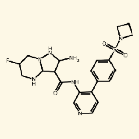 NC1NN2CC(F)CNC2C1C(=O)Nc1cnccc1-c1ccc(S(=O)(=O)N2CCC2)cc1